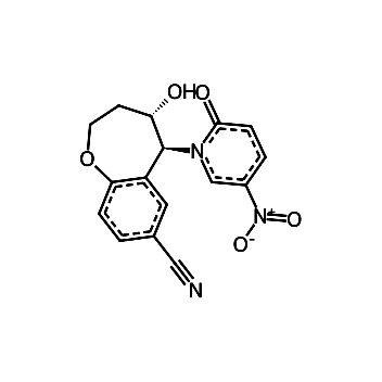 N#Cc1ccc2c(c1)[C@H](n1cc([N+](=O)[O-])ccc1=O)[C@@H](O)CCO2